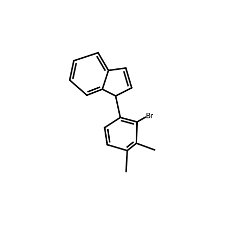 Cc1ccc(C2C=Cc3ccccc32)c(Br)c1C